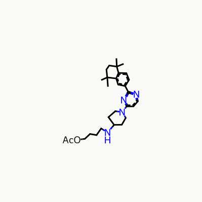 CC(=O)OCCCCNC1CCN(c2ccnc(-c3ccc4c(c3)C(C)(C)CCC4(C)C)n2)CC1